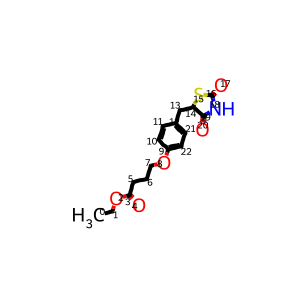 CCOC(=O)CCCOc1ccc(CC2SC(=O)NC2=O)cc1